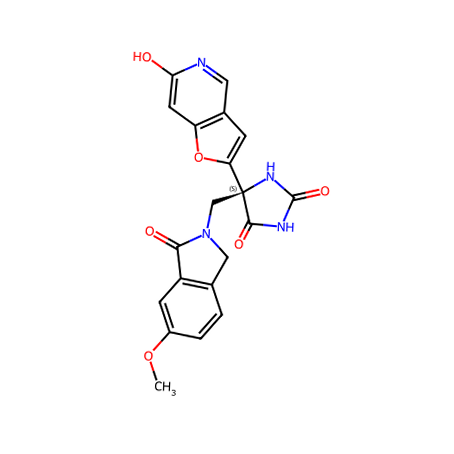 COc1ccc2c(c1)C(=O)N(C[C@@]1(c3cc4cnc(O)cc4o3)NC(=O)NC1=O)C2